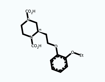 CCOc1ccccc1OCC[C@@H]1CN(C(=O)O)CCN1C(=O)O